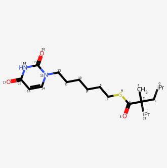 CC(C)CC(C)(C(=O)SCCCCCCn1ccc(=O)[nH]c1=O)C(C)C